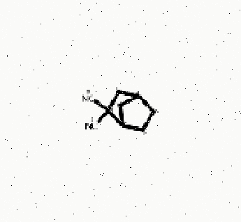 N#CC1(C#N)CC2CCC1C2